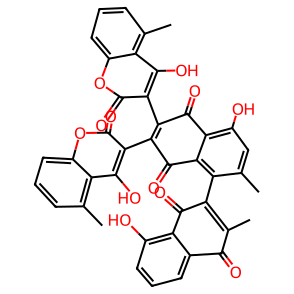 CC1=C(c2c(C)cc(O)c3c2C(=O)C(c2c(O)c4c(C)cccc4oc2=O)=C(c2c(O)c4c(C)cccc4oc2=O)C3=O)C(=O)c2c(O)cccc2C1=O